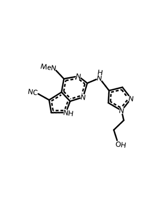 CNc1nc(Nc2cnn(CCO)c2)nc2[nH]cc(C#N)c12